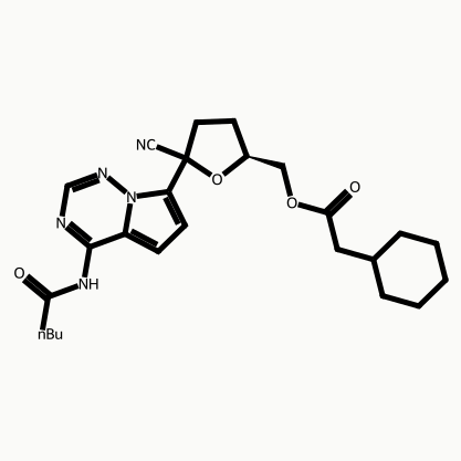 CCCCC(=O)Nc1ncnn2c(C3(C#N)CC[C@@H](COC(=O)CC4CCCCC4)O3)ccc12